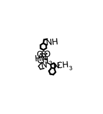 C[C@@H]1CCCN1[C@@H](CNS(=O)(=O)c1ccc2cc[nH]c2c1)c1cn(C)c2ccccc12